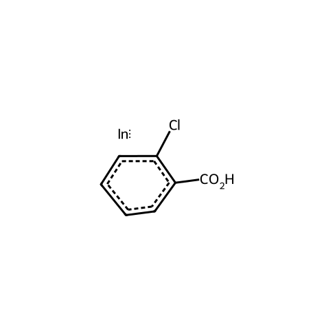 O=C(O)c1ccccc1Cl.[In]